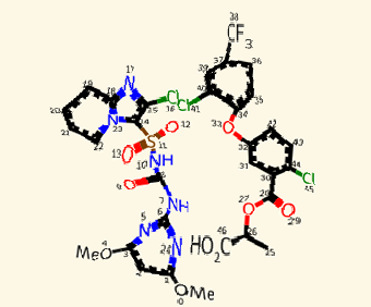 COc1cc(OC)nc(NC(=O)NS(=O)(=O)c2c(Cl)nc3ccccn23)n1.C[C@H](OC(=O)c1cc(Oc2ccc(C(F)(F)F)cc2Cl)ccc1Cl)C(=O)O